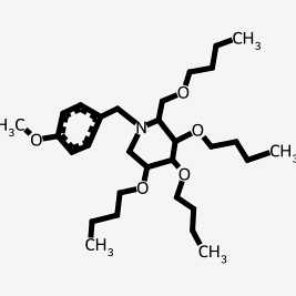 CCCCOCC1C(OCCCC)C(OCCCC)C(OCCCC)CN1Cc1ccc(OC)cc1